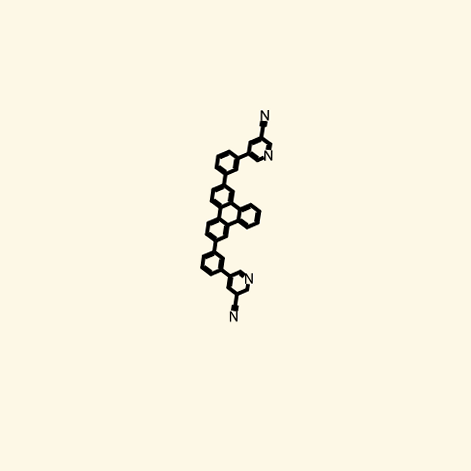 N#Cc1cncc(-c2cccc(-c3ccc4c5ccc(-c6cccc(C7=CC(C#N)CN=C7)c6)cc5c5ccccc5c4c3)c2)c1